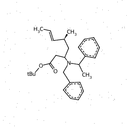 CC=C[C@@H](C)CC(CC(=O)OC(C)(C)C)N(Cc1ccccc1)C(C)c1ccccc1